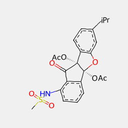 CC(=O)O[C@@]12Oc3cc(C(C)C)ccc3[C@]1(OC(C)=O)C(=O)c1c(NS(C)(=O)=O)cccc12